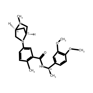 COc1ccc([C@@H](C)NC(=O)c2cc(N3C[C@@H]4C[C@H]3CN4C)ccc2C)cc1OC